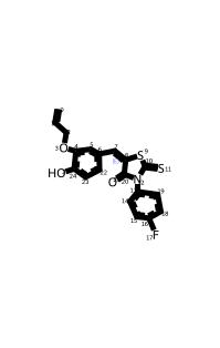 C=CCOc1cc(/C=C2/SC(=S)N(c3ccc(F)cc3)C2=O)ccc1O